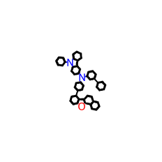 c1ccc(-c2cccc(N(c3ccc(-c4cccc5oc6c7ccccc7ccc6c45)cc3)c3ccc4c(c3)c3ccccc3n4-c3ccccc3)c2)cc1